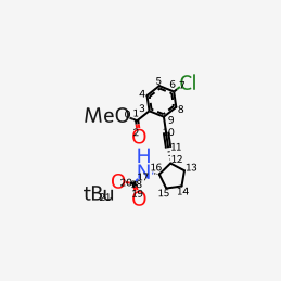 COC(=O)c1ccc(Cl)cc1C#C[C@@H]1CCC[C@@H]1NC(=O)OC(C)(C)C